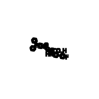 O=C(COCC(=O)N1CCN(C(c2ccccc2)c2ccccc2)CC1)Nc1ccc(-c2ccc(F)cc2)cc1C(=O)O